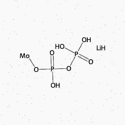 O=P(O)(O)OP(=O)(O)[O][Mo].[LiH]